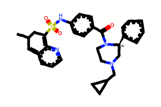 CC1C=c2cccnc2=C(S(=O)(=O)Nc2ccc(C(=O)N3CCN(CC4CC4)C[C@@H]3c3ccccc3)cc2)C1